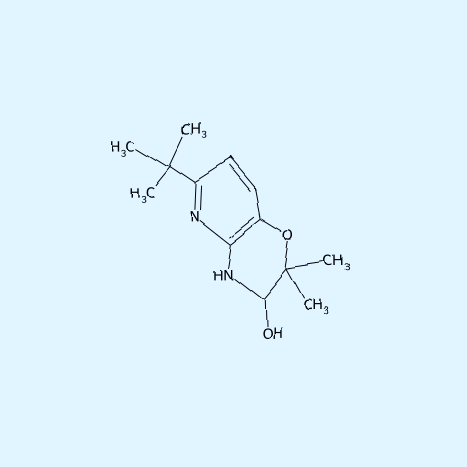 CC(C)(C)c1ccc2c(n1)NC(O)C(C)(C)O2